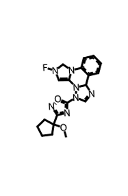 COC1(c2noc(N3C=NC4c5ccccc5N5CN(F)C=C5N43)n2)CCCC1